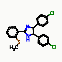 CSc1ccccc1C1=NC(c2ccc(Cl)cc2)C(c2ccc(Cl)cc2)N1